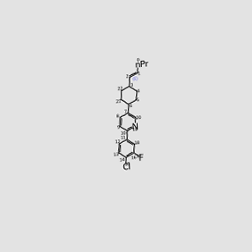 CCC/C=C/C1CCC(c2ccc(-c3ccc(Cl)c(F)c3)nc2)CC1